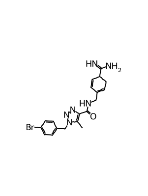 Cc1c(C(=O)NCC2=CCC(C(=N)N)C=C2)nnn1Cc1ccc(Br)cc1